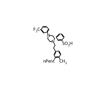 CCCCCc1cc(CCN2CCN(c3cccc(C(F)(F)F)c3)CC2)ccc1C.O=S(=O)(O)c1ccccc1